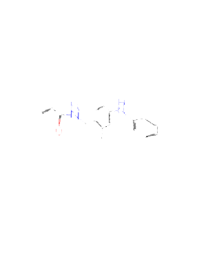 C=CC(=O)NCc1ccc(Nc2ccccc2)cc1C